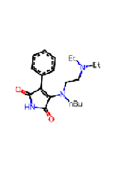 CCCCN(CCN(CC)CC)C1=C(c2ccccc2)C(=O)NC1=O